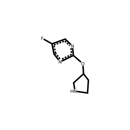 Fc1cnc(OC2CCNC2)nc1